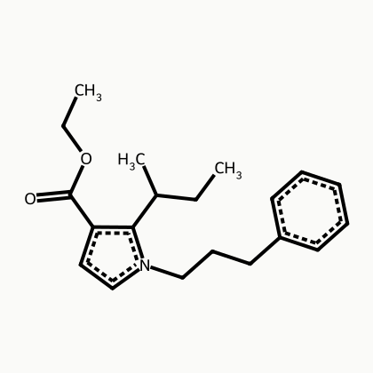 CCOC(=O)c1ccn(CCCc2ccccc2)c1C(C)CC